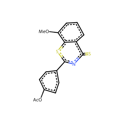 COc1cccc2c(=S)nc(-c3ccc(OC(C)=O)cc3)sc12